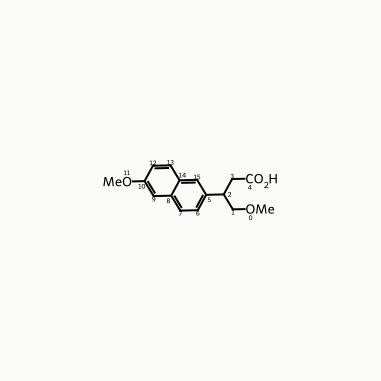 COCC(CC(=O)O)c1ccc2cc(OC)ccc2c1